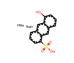 O=S(=O)(O)c1cccc2cc3c(O)cccc3cc12.[NaH].[NaH]